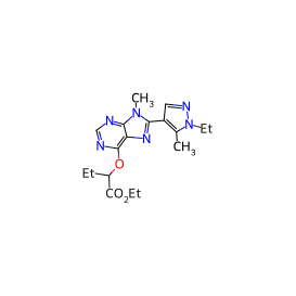 CCOC(=O)C(CC)Oc1ncnc2c1nc(-c1cnn(CC)c1C)n2C